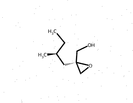 CC[C@H](C)C[C@@]1(CO)CO1